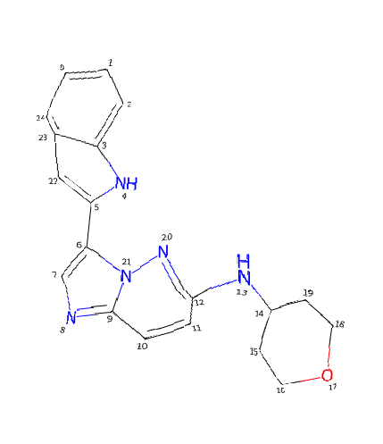 c1ccc2[nH]c(-c3cnc4ccc(NC5CCOCC5)nn34)cc2c1